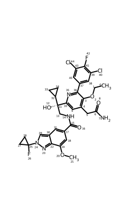 CCOc1c(CC(N)=O)cc([C@@](O)(CNC(=O)c2cc(OC)c3nn(C4(F)CC4)cc3c2)C2CC2)nc1-c1cc(Cl)c(F)c(Cl)c1